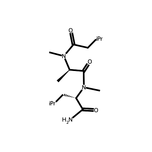 CC(C)CC(=O)N(C)[C@H](C)C(=O)N(C)[C@@H](CC(C)C)C(N)=O